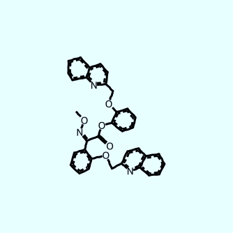 CON=C(C(=O)Oc1ccccc1OCc1ccc2ccccc2n1)c1ccccc1OCc1ccc2ccccc2n1